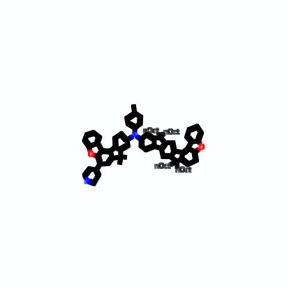 CCCCCCCCC1(CCCCCCCC)c2cc(N(c3ccc(C)cc3)c3ccc4c(c3)C(C)(C)c3cc(-c5ccncc5)c5oc6ccccc6c5c3-4)ccc2-c2cc3c(cc21)-c1c(ccc2oc4ccccc4c12)C3(CCCCCCCC)CCCCCCCC